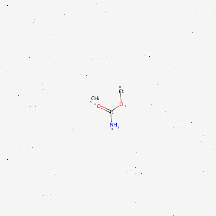 CCOC(N)=O.[CH]